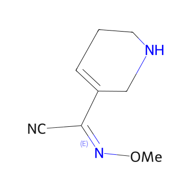 CO/N=C(/C#N)C1=CCCNC1